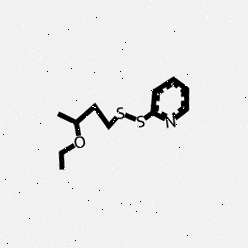 CCOC(C)CCSSc1ccccn1